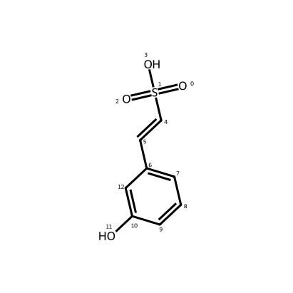 O=S(=O)(O)C=Cc1cccc(O)c1